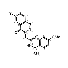 COc1ccc([C@H](C)NC(=O)Cn2nnc3ccc(F)cc3c2=O)cc1